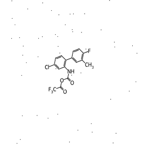 Cc1cc(-c2ccc(Cl)cc2NC(=O)OC(=O)C(F)(F)F)ccc1F